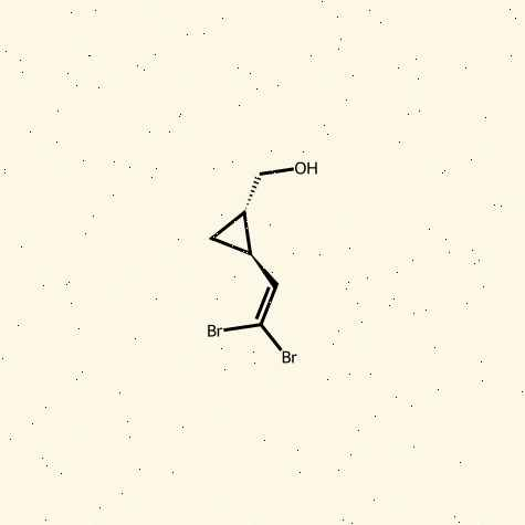 OC[C@H]1C[C@@H]1C=C(Br)Br